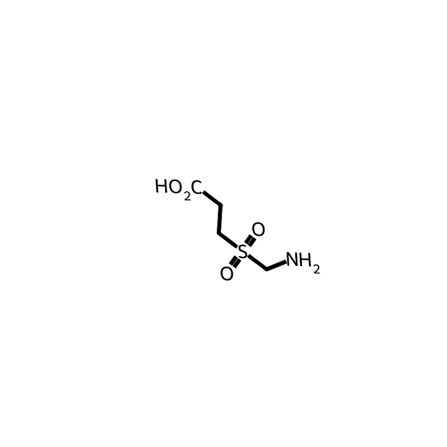 NCS(=O)(=O)CCC(=O)O